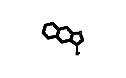 Brc1coc2cc3ccccc3cc12